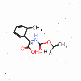 CC(C)OC(=O)N[C@@H](C(=O)O)C1C=CC=CC1C